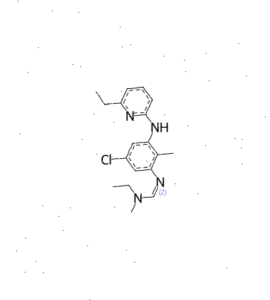 CCc1cccc(Nc2cc(Cl)cc(/N=C\N(C)CC)c2C)n1